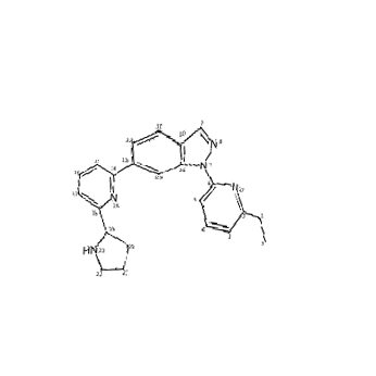 CCc1cccc(-n2ncc3ccc(-c4cccc(C5CCCN5)n4)cc32)n1